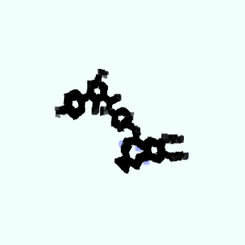 COc1cc2/c(cc1OC)=C(Oc1ncc(NC(=O)c3cn(C(C)C)nc(-c4ccc(F)cc4)c3=O)cn1)\C=C/C1(C/C=2)CC1